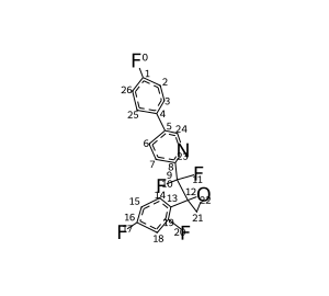 Fc1ccc(-c2ccc(C(F)(F)C3(c4ccc(F)cc4F)CO3)nc2)cc1